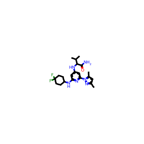 Cc1cc(C)n(-c2cc(NC(C(N)=O)C(C)C)cc(NC3CCC(F)(F)CC3)n2)n1